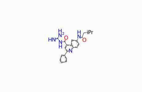 CC(C)CC(=O)Nc1ccc2nc(-c3ccccc3)cc(C(=O)NC(=N)N)c2c1